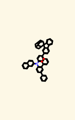 c1ccc(-c2ccc(N(c3ccc(-c4ccc5c(c4)C4(c6ccccc6-5)C5CC6CC(C5)CC4C6)cc3)c3ccc4ccccc4c3)c(-c3ccccc3)c2)cc1